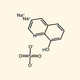 O=S(=O)([O-])[O-].Oc1cccc2cccnc12.[Na+].[Na+]